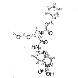 COCO[C@@H]1CN(C(=O)OCc2ccccc2)[C@H]1C(=O)Nc1ccc2c(cnn2C(=O)O)n1